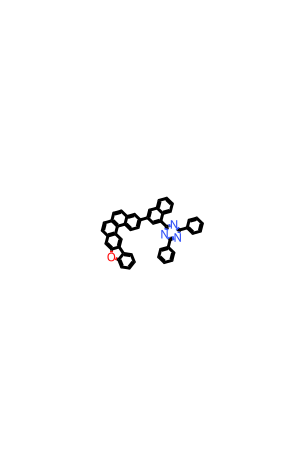 c1ccc(-c2nc(-c3ccccc3)nc(-c3cc(-c4ccc5c(ccc6ccc7cc8oc9ccccc9c8cc7c65)c4)cc4ccccc34)n2)cc1